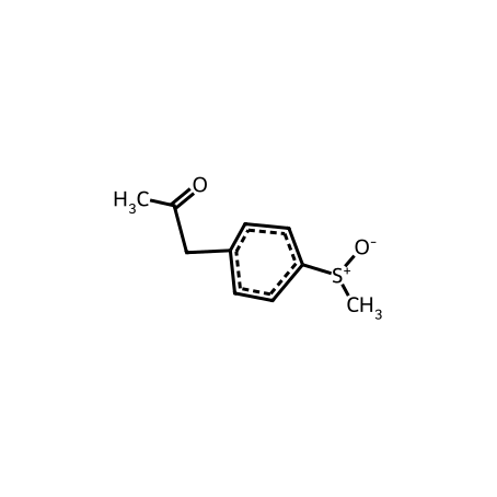 CC(=O)Cc1ccc([S+](C)[O-])cc1